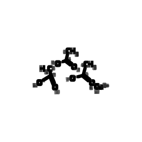 CC(=O)[O-].CC(=O)[O-].CC(=O)[O-].[Ga+3]